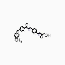 CN1CCN(Cc2ccc(C(=O)/C=C/c3ccc(/C=C/C(=O)CO)cc3)cc2)CC1